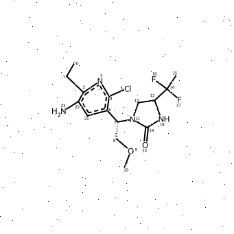 CCc1nc(Cl)c([C@@H](COC)N2CC(C(C)(F)F)NC2=O)cc1N